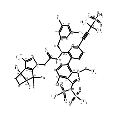 CC(C)(C#Cc1ccc(-c2ccc(Cl)c3c(N(S(C)(=O)=O)S(C)(=O)=O)nn(CC(F)(F)F)c23)c([C@H](Cc2cc(F)cc(F)c2)NC(=O)Cn2nc(C(F)(F)F)c3c2C(F)(F)[C@@H]2CC[C@H]32)n1)S(C)(=O)=O